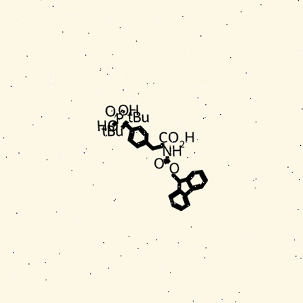 CC(C)(C)C(c1ccc(CC(NC(=O)OCC2c3ccccc3-c3ccccc32)C(=O)O)cc1)(C(C)(C)C)P(=O)(O)O